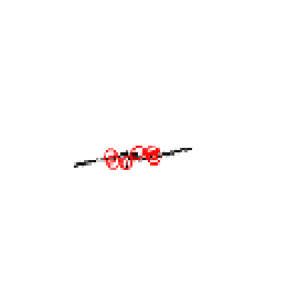 CCCCCCCCCCCCOC(=O)CCCC(C)(C)c1cc(OCC)c(C(C)(C)CCCC(=O)OCCCCCCCCCCCC)cc1O